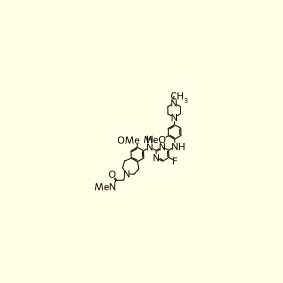 CNC(=O)CN1CCc2cc(Nc3ncc(F)c(Nc4ccc(N5CCN(C)CC5)cc4OC)n3)c(OC)cc2CC1